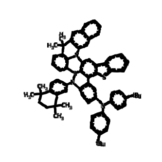 CC(C)(C)c1ccc(N(c2ccc(C(C)(C)C)cc2)c2ccc3c(c2)-c2c4c(cc5c2sc2ccccc25)N2c5cc6ccccc6cc5C(C)(C)c5cccc(c52)B4N3c2ccc3c(c2)C(C)(C)CCC3(C)C)cc1